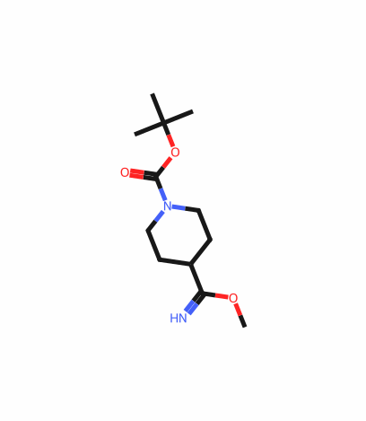 COC(=N)C1CCN(C(=O)OC(C)(C)C)CC1